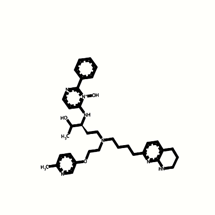 Cc1ccc(OCCN(CCCCc2ccc3c(n2)NCCC3)CC[C@H](Nc2ccnc(-c3ccccc3)[n+]2O)C(C)O)cn1